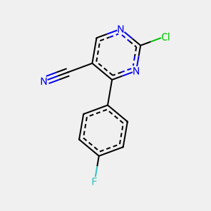 N#Cc1cnc(Cl)nc1-c1ccc(F)cc1